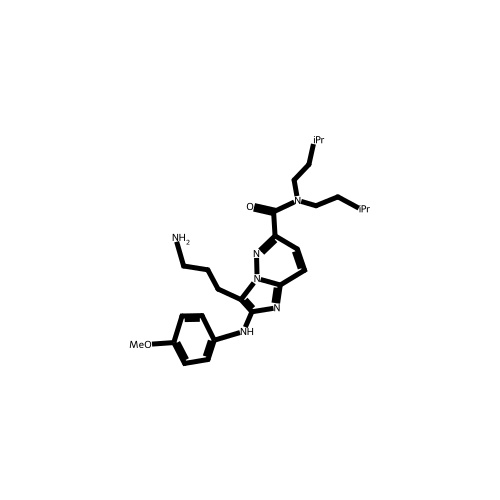 COc1ccc(Nc2nc3ccc(C(=O)N(CCC(C)C)CCC(C)C)nn3c2CCCN)cc1